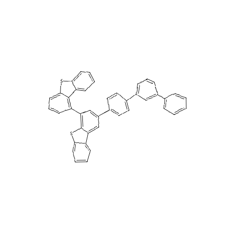 c1ccc(-c2cccc(-c3ccc(-c4cc(-c5cccc6sc7ccccc7c56)c5sc6ccccc6c5c4)cc3)c2)cc1